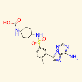 Cc1ccc(S(=O)(=O)N[C@H]2CC[C@H](NC(=O)O)CC2)cc1-c1cnc2c(N)ncnn12